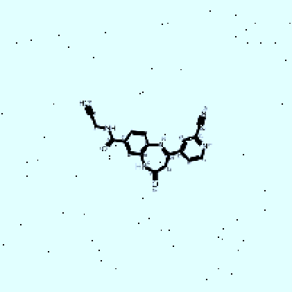 C#CCNC(=O)c1ccc2c(c1)NC(=O)CC(c1ccnc(C#N)c1)=N2